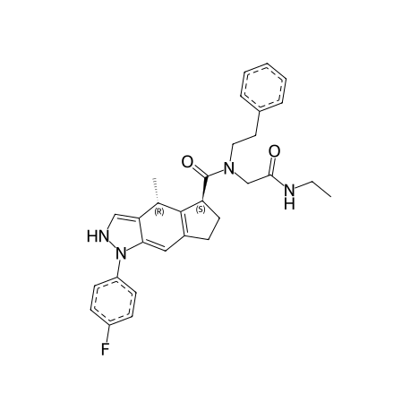 CCNC(=O)CN(CCc1ccccc1)C(=O)[C@H]1CCC2=C1[C@@H](C)C1=CNN(c3ccc(F)cc3)C1=C2